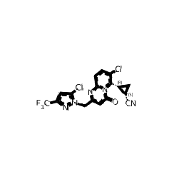 N#C[C@H]1C[C@H]1c1c(Cl)ccc2nc(Cn3nc(C(F)(F)F)cc3Cl)cc(=O)n12